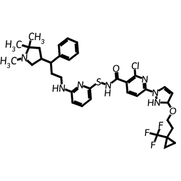 CN1CC(C(CCNc2cccc(SNC(=O)c3ccc(N4C=CC(OCCC5(C(F)(F)F)CC5)N4)nc3Cl)n2)c2ccccc2)CC1(C)C